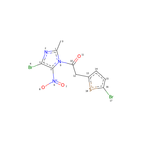 Cc1nc(Br)c([N+](=O)[O-])n1C(=O)Cc1ccc(Br)s1